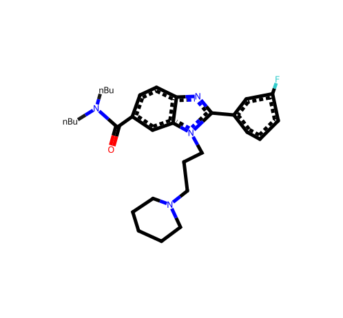 CCCCN(CCCC)C(=O)c1ccc2nc(-c3cccc(F)c3)n(CCCN3CCCCC3)c2c1